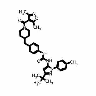 Cc1ccc(-n2nc(C(C)(C)C)cc2NC(=O)Nc2ccc(CC3CCN(C(=O)c4c(C)noc4C)CC3)cc2)cc1